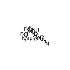 Cc1nc(Nc2ncc(F)c(-c3cc(F)c4nc(C)n(C(C)C)c4c3)n2)ccc1C(=O)N1CCCN(CCN(C)C)CC1